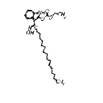 CCCCCCCCCCCCCCCCCC(=NO)c1c(OC(=O)OCC)[nH]c2ccccc12